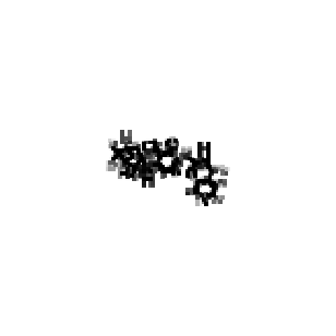 C[C@@H]1[C@H]2C[C@@H](C[C@H]1Nc1cnn(CC(=O)N[C@H](C)c3ccncc3)c(=O)c1Cl)C2(C)C